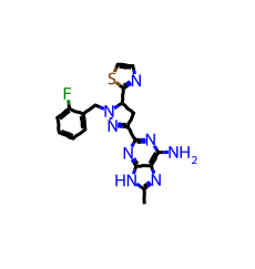 Cc1nc2c(N)nc(C3=NN(Cc4ccccc4F)C(c4nccs4)C3)nc2[nH]1